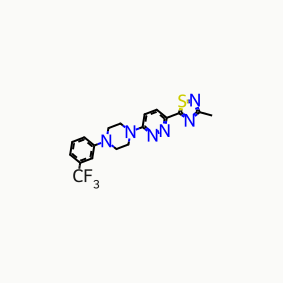 Cc1nsc(-c2ccc(N3CCN(c4cccc(C(F)(F)F)c4)CC3)nn2)n1